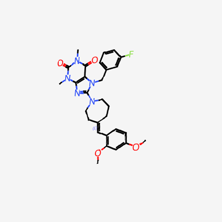 COc1ccc(/C=C2\CCCN(c3nc4c(c(=O)n(C)c(=O)n4C)n3Cc3cccc(F)c3)CC2)c(OC)c1